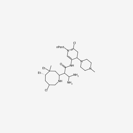 CCCCC[N+]1=C(Cl)CC(N2CCN(C)CC2)C(NC(=O)C(C(N)N)C2CC(C)(CC)[C@@H](CC)CC(Cl)CN2)=C1